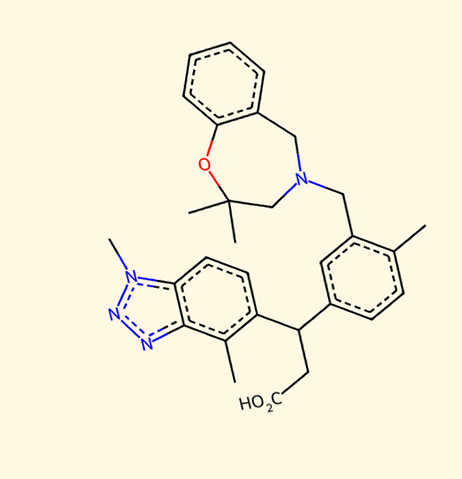 Cc1ccc(C(CC(=O)O)c2ccc3c(nnn3C)c2C)cc1CN1Cc2ccccc2OC(C)(C)C1